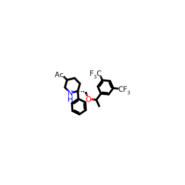 CC(=O)C1CC[C@@](COC(C)c2cc(C(F)(F)F)cc(C(F)(F)F)c2)(c2ccccc2)NC1